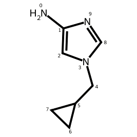 Nc1cn(CC2CC2)cn1